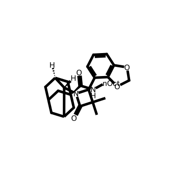 CCCCCCCCNC(=O)[C@]12CC3CC(C1)[C@@H](N1C(=O)C(C)(C)C1c1cccc4c1OCO4)[C@@H](C3)C2